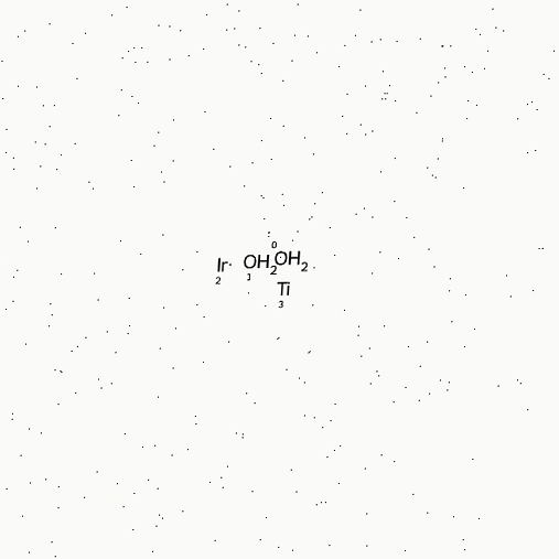 O.O.[Ir].[Ti]